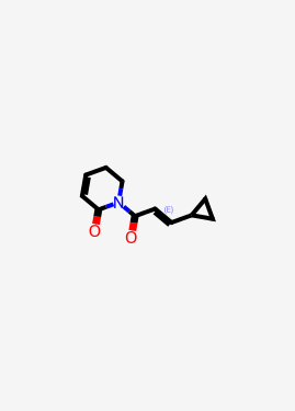 O=C1C=CCCN1C(=O)/C=C/C1CC1